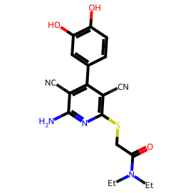 CCN(CC)C(=O)CSc1nc(N)c(C#N)c(-c2ccc(O)c(O)c2)c1C#N